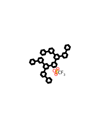 O=S(=O)(Oc1cc(-c2cc(-c3cccc(-c4ccccc4)c3)cc(-c3cccc(-c4ccccc4)c3)c2)cc(-c2cc(-c3cccc(-c4ccccc4)c3)cc(-c3cccc(-c4ccccc4)c3)c2)c1)C(F)(F)F